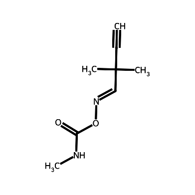 C#CC(C)(C)/C=N/OC(=O)NC